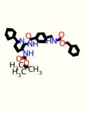 CC(C)(C)OC(=O)Nc1ccc(-c2ccccc2)nc1NC(=O)c1ccc(CNC(=O)OCc2ccccc2)cc1